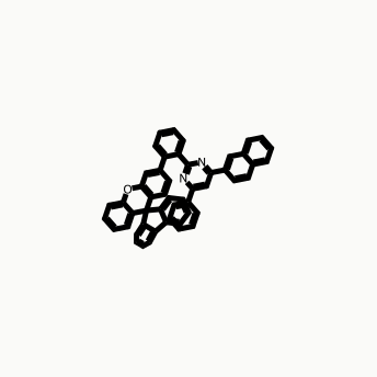 c1ccc(-c2cc(-c3ccc4ccccc4c3)nc(-c3ccccc3-c3ccc4c(c3)Oc3ccccc3C43c4ccccc4-c4ccccc43)n2)cc1